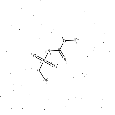 CC(=O)CS(=O)(=O)NC(=S)OC(C)C